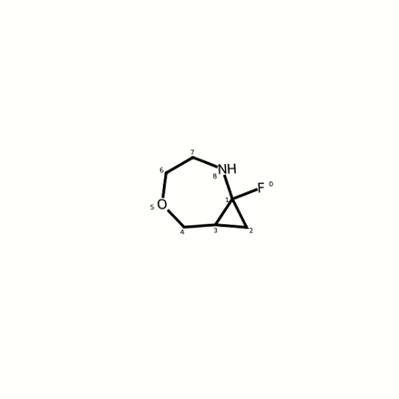 FC12CC1COCCN2